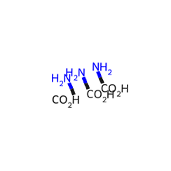 NC(=O)O.NC(=O)O.NC(=O)O